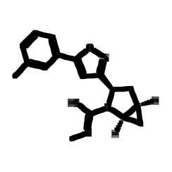 C/N=C(\S)N1[C@@H](c2cc(-c3cccc(C)c3)on2)C[C@H]2C[C@H]21